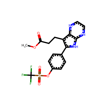 COC(=O)CCc1c(-c2ccc(OS(=O)(=O)C(F)(F)F)cc2)[nH]c2nccnc12